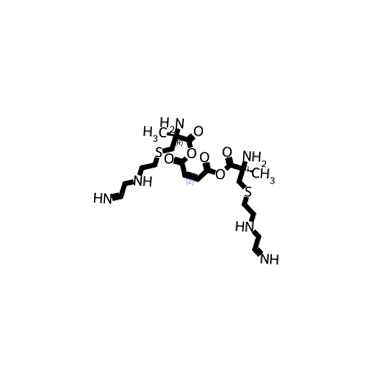 C[C@](N)(CSCCNCC=N)C(=O)OC(=O)/C=C\C(=O)OC(=O)[C@@](C)(N)CSCCNCC=N